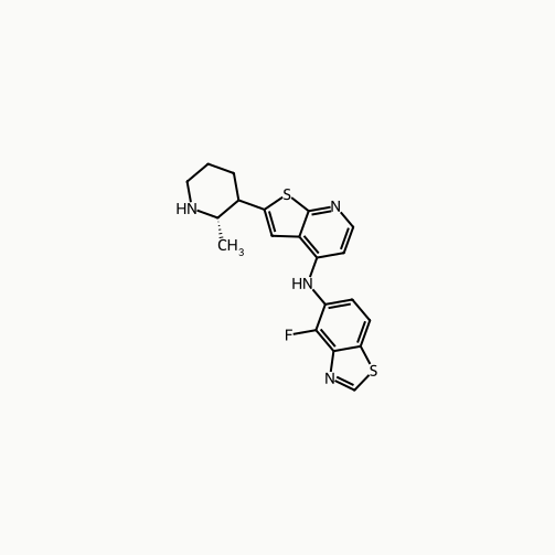 C[C@@H]1NCCCC1c1cc2c(Nc3ccc4scnc4c3F)ccnc2s1